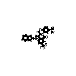 O=C(c1cccc(C(F)(F)F)c1)N1c2cc([N+](=O)[O-])ccc2OCC1CCNC1Cc2ccccc2C1